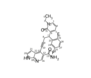 CCn1cccc(C(CC#Cc2c(C(N)=O)cnc3[nH]ccc23)c2cc(F)ccc2F)c1=O